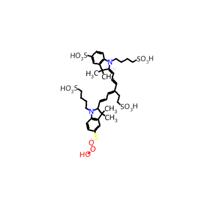 CC1(C)/C(=C\C=CC(=CC=CC2N(CCCCS(=O)(=O)O)c3ccc(SOOO)cc3C2(C)C)CCS(=O)(=O)O)N(CCCCS(=O)(=O)O)c2ccc(S(=O)(=O)O)cc21